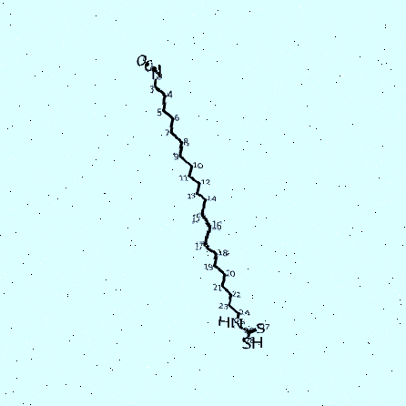 O=C=NCCCCCCCCCCCCCCCCCCCCCCNC(=S)S